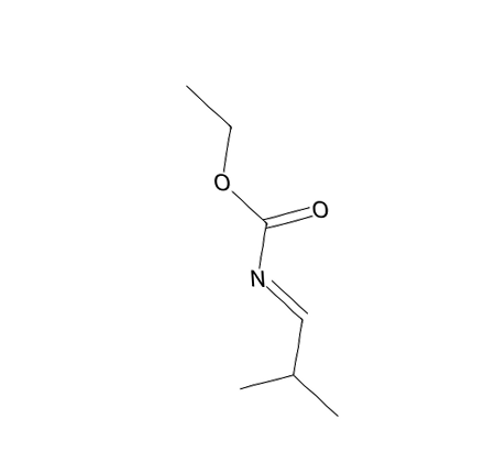 CCOC(=O)N=CC(C)C